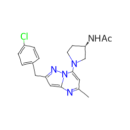 CC(=O)N[C@@H]1CCN(c2cc(C)nc3cc(Cc4ccc(Cl)cc4)nn23)C1